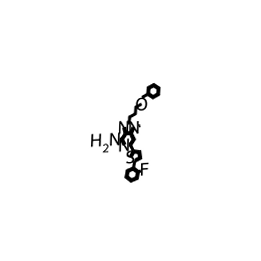 Cn1c(CCCOCc2ccccc2)nc2c(N)nc(-c3ccc(-c4ccccc4F)s3)cc21